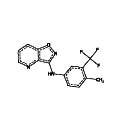 Cc1ccc(Nc2noc3cccnc23)cc1C(F)(F)F